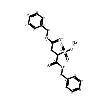 O=C(CC(C(=O)OCc1ccccc1)S(=O)(=O)[O-])OCc1ccccc1.[Na+]